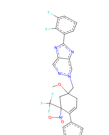 COC1(Cn2cc3nc(-c4cccc(F)c4F)nc-3cn2)CC=C(c2ccccc2)C([N+](=O)[O-])(C(F)(F)F)C1